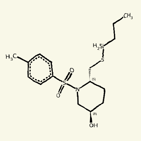 CCC[SiH2]SC[C@@H]1CC[C@@H](O)CN1S(=O)(=O)c1ccc(C)cc1